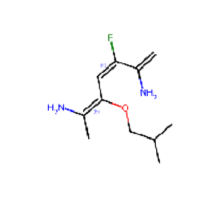 C=C(N)/C(F)=C\C(OCC(C)C)=C(\C)N